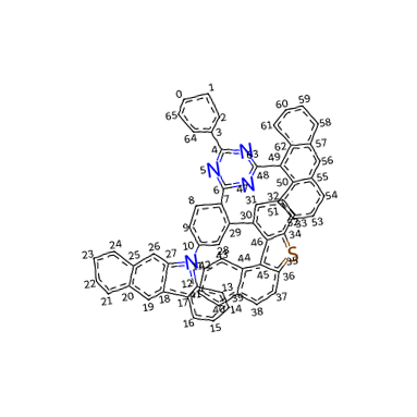 c1ccc(-c2nc(-c3ccc(-n4c5ccccc5c5cc6ccccc6cc54)cc3-c3cccc4sc5ccc6ccccc6c5c34)nc(-c3c4ccccc4cc4ccccc34)n2)cc1